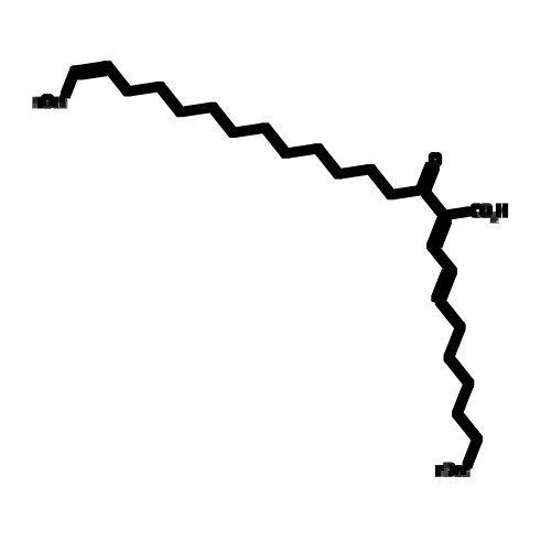 CCCCCCCC/C=C\CCCCCCCCCCCC(=O)C(=CC=CCCCCCCCCCCCCCCC)C(=O)O